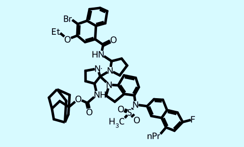 CCCc1cc(F)cc2ccc(N(c3cccc4c3CCN4C3(N4CCCC4NC(=O)c4cc(OCC)c(Br)c5ccccc45)[N]CCC3NC(=O)OC34CC5CC(CC(C5)C3)C4)S(C)(=O)=O)cc12